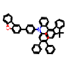 CC1(C)c2ccccc2-c2c(-c3ccccc3N(c3ccc(-c4ccc5oc6ccccc6c5c4)cc3)c3ccc(-c4ccccc4)c(-c4ccccc4)c3)cccc21